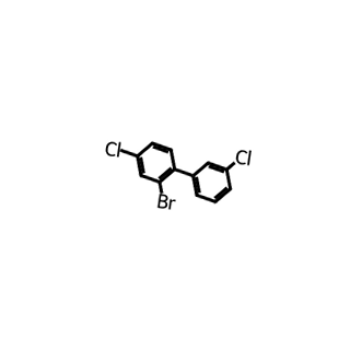 Clc1cccc(-c2ccc(Cl)cc2Br)c1